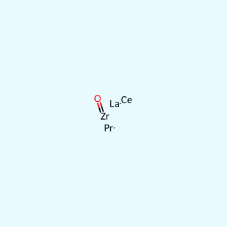 [Ce].[La].[O]=[Zr].[Pr]